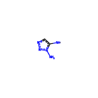 [NH]c1cnnn1N